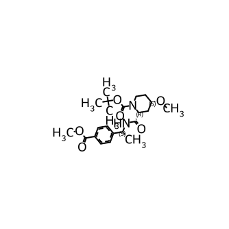 COC(=O)c1ccc([C@H](C)NC(=O)[C@H]2C[C@@H](OC)CCN2C(=O)OC(C)(C)C)cc1